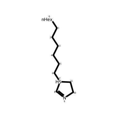 CCCCCCCCCCCC[SH]1[C]=NCC1